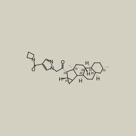 C[C@H]1CC[C@H]2[C@H](CC[C@H]3C4C5C[C@@H]5[C@H](C(=O)Cn5cc(C(=O)N6CCC6)cn5)[C@@]4(C)CC[C@H]23)C1